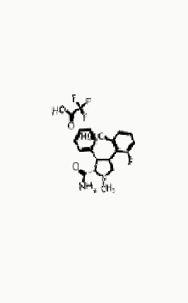 CN1CC(c2c(F)cccc2C(=O)O)[C@H](c2ccccc2)[C@H]1C(N)=O.O=C(O)C(F)(F)F